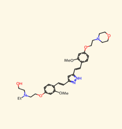 CCN(CCO)CCOc1ccc(/C=C/c2cc(/C=C/c3ccc(OCCN4CCOCC4)cc3OC)[nH]n2)c(OC)c1